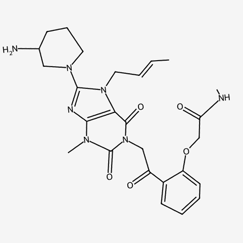 CC=CCn1c(N2CCCC(N)C2)nc2c1c(=O)n(CC(=O)c1ccccc1OCC(=O)NC)c(=O)n2C